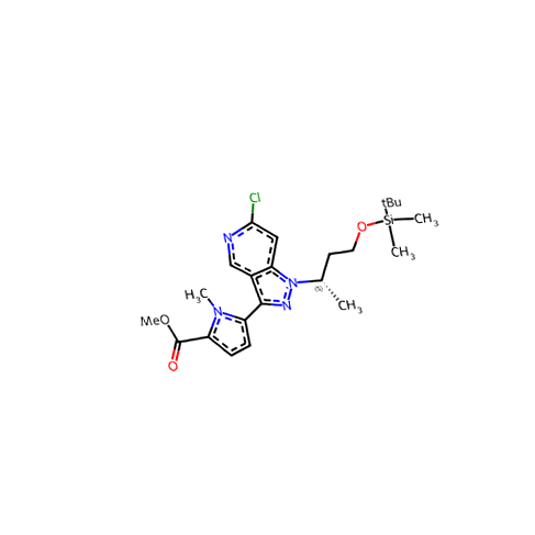 COC(=O)c1ccc(-c2nn([C@@H](C)CCO[Si](C)(C)C(C)(C)C)c3cc(Cl)ncc23)n1C